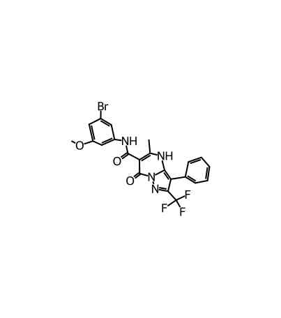 COc1cc(Br)cc(NC(=O)c2c(C)[nH]c3c(-c4ccccc4)c(C(F)(F)F)nn3c2=O)c1